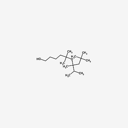 CC(C)C(C)(CC(C)(C)C)OC(C)(C)CCCCO